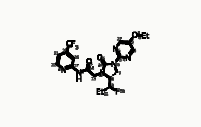 CCOc1cnc(N2C[C@H]([C@@H](F)CC)N(CC(=O)Nc3cc(C(F)(F)F)ccn3)C2=O)nc1